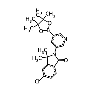 CC1(C)c2cc(Cl)ccc2C(=O)N1c1cncc(B2OC(C)(C)C(C)(C)O2)c1